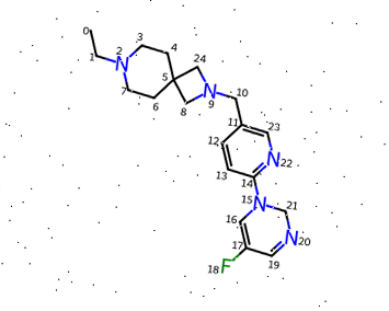 CCN1CCC2(CC1)CN(Cc1ccc(N3C=C(F)C=NC3)nc1)C2